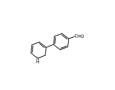 O=Cc1ccc(C2=CC=CNC2)cc1